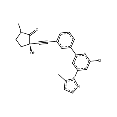 Cc1ccnn1-c1cc(Cl)nc(-c2cccc(C#C[C@]3(O)CCN(C)C3=O)c2)c1